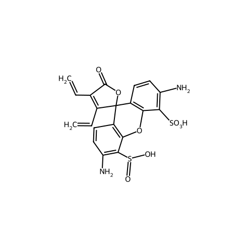 C=CC1=C(C=C)C2(OC1=O)c1ccc(N)c(S(=O)O)c1Oc1c2ccc(N)c1S(=O)(=O)O